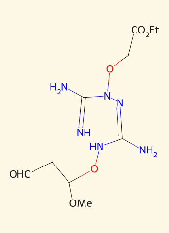 CCOC(=O)CON(N=C(N)NOC(CC=O)OC)C(=N)N